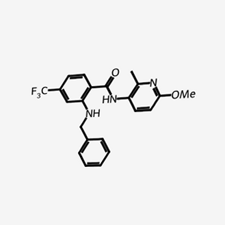 COc1ccc(NC(=O)c2ccc(C(F)(F)F)cc2NCc2ccccc2)c(C)n1